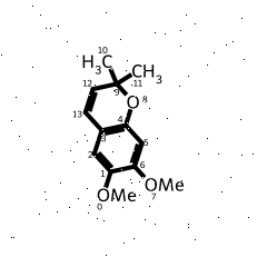 COc1cc2c(cc1OC)OC(C)(C)C=C2